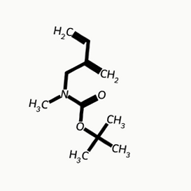 C=CC(=C)CN(C)C(=O)OC(C)(C)C